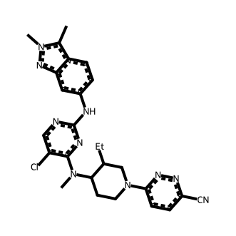 CCC1CN(c2ccc(C#N)nn2)CCC1N(C)c1nc(Nc2ccc3c(C)n(C)nc3c2)ncc1Cl